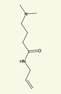 C=CCNC(=O)CCCN(C)C